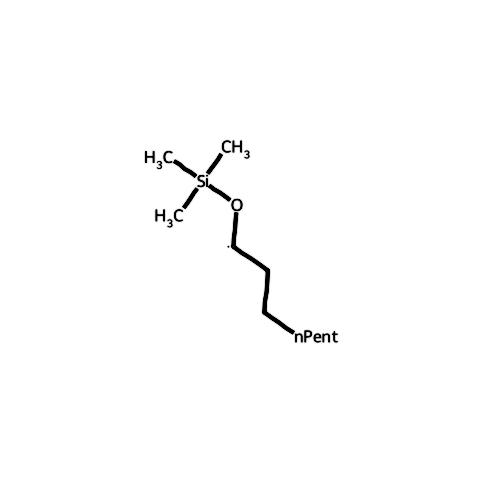 CCCCCCC[CH]O[Si](C)(C)C